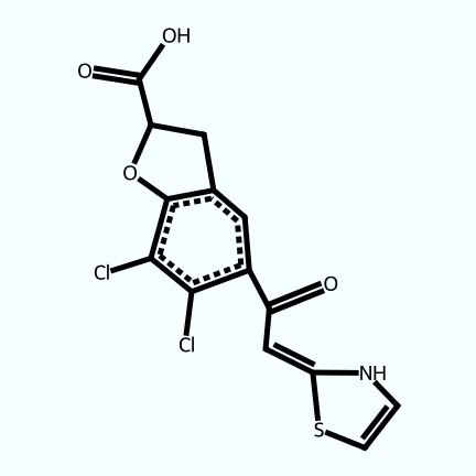 O=C(/C=C1\NC=CS1)c1cc2c(c(Cl)c1Cl)OC(C(=O)O)C2